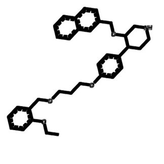 CCOc1ccccc1COCCCOc1ccc(C2CCNCC2OCc2ccc3ccccc3c2)cc1